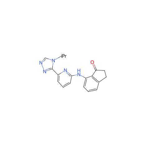 CC(C)n1cnnc1-c1cccc(Nc2cccc3c2C(=O)CC3)n1